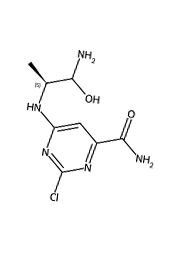 C[C@H](Nc1cc(C(N)=O)nc(Cl)n1)C(N)O